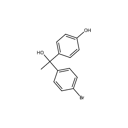 CC(O)(c1ccc(O)cc1)c1ccc(Br)cc1